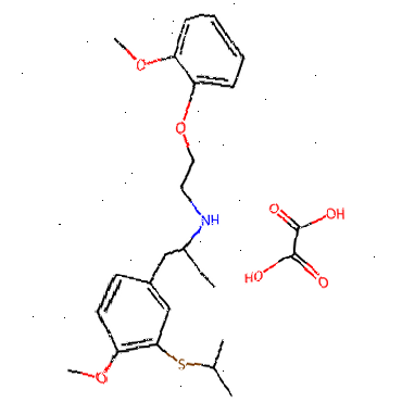 COc1ccccc1OCCNC(C)Cc1ccc(OC)c(SC(C)C)c1.O=C(O)C(=O)O